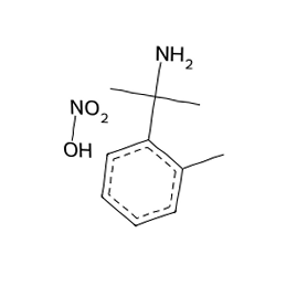 Cc1ccccc1C(C)(C)N.O=[N+]([O-])O